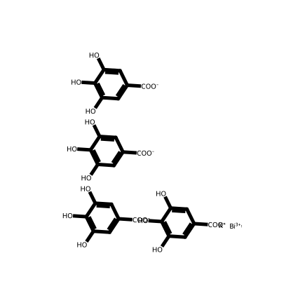 O=C([O-])c1cc(O)c(O)c(O)c1.O=C([O-])c1cc(O)c(O)c(O)c1.O=C([O-])c1cc(O)c(O)c(O)c1.O=C([O-])c1cc(O)c(O)c(O)c1.[Bi+3].[K+]